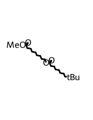 COC(=O)CCCCCCCCOC(=O)CCCCCCCC(C)(C)C